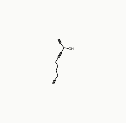 C#CCCCCC#CC(O)C#C